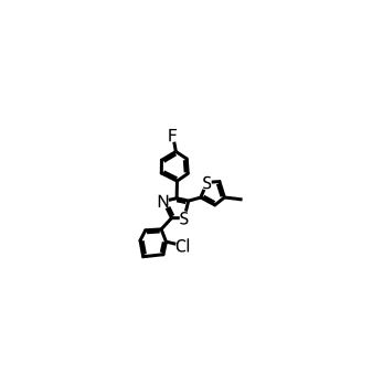 Cc1csc(-c2sc(-c3ccccc3Cl)nc2-c2ccc(F)cc2)c1